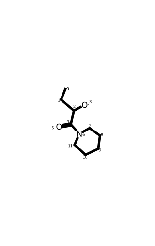 CCC([O])C(=O)N1CCCCC1